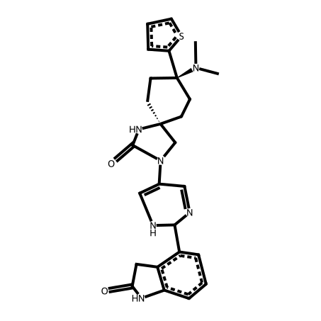 CN(C)[C@]1(c2cccs2)CC[C@]2(CC1)CN(C1=CNC(c3cccc4c3CC(=O)N4)N=C1)C(=O)N2